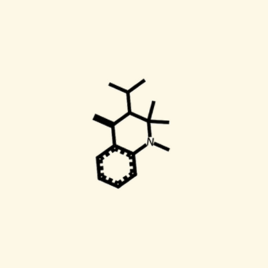 C=C1c2ccccc2N(C)C(C)(C)C1C(C)C